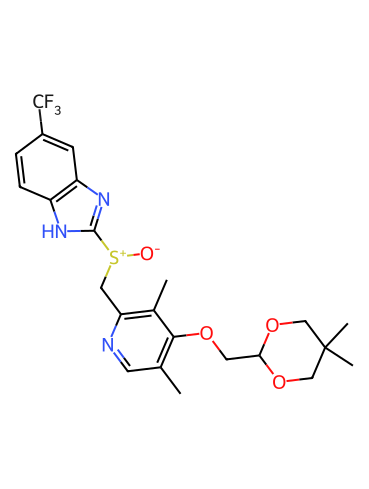 Cc1cnc(C[S+]([O-])c2nc3cc(C(F)(F)F)ccc3[nH]2)c(C)c1OCC1OCC(C)(C)CO1